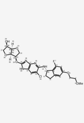 COCCOc1cc(F)c2c(c1)CC[C@@H]2Nc1nc2nc(O[C@@H]3CO[C@H]4[C@@H]3OC[C@H]4O)[nH]c2cc1Cl